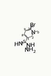 CN1CC(C(=N)NN)=CC=C1Br